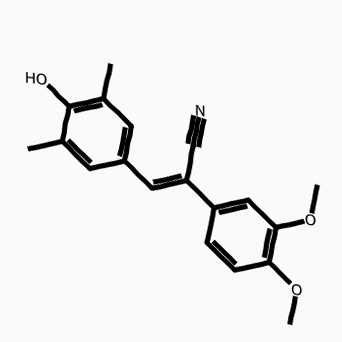 COc1ccc(/C(C#N)=C/c2cc(C)c(O)c(C)c2)cc1OC